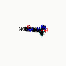 N#Cc1ccc(N2CCN(c3ccc(-c4ccc(C(F)(F)C(O)(Cn5cnnn5)c5ccc(F)cc5F)nc4)cc3)CC2=O)cc1